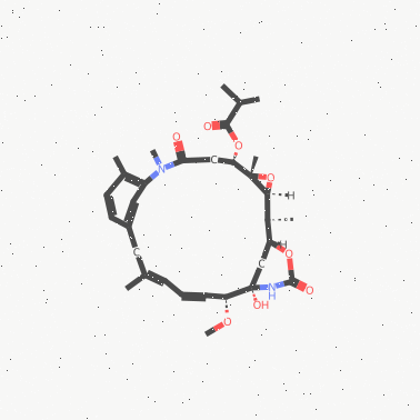 CO[C@@H]1/C=C/C=C(\C)Cc2ccc(C)c(c2)N(C)C(=O)C[C@H](OC(=O)C(C)C)[C@]2(C)O[C@H]2[C@H](C)[C@@H]2C[C@@]1(O)NC(=O)O2